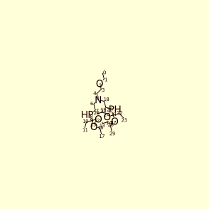 CCOCCN(CCPC(CC)(OCC)OCC)CCPC(CC)(OCC)OCC